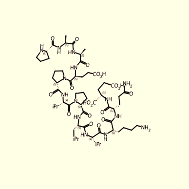 CC(C)C[C@H](NC(=O)[C@@H]1CCCN1C(=O)[C@@H](NC(=O)[C@@H]1CCCN1C(=O)[C@H](CCC(=O)O)NC(=O)[C@H](C)NC(=O)[C@H](C)NC(=O)[C@@H]1CCCN1)C(C)C)C(=O)N[C@H](C(=O)N[C@@H](CCCCN)C(=O)N[C@@H](CCC(N)=O)C(=O)N[C@@H](CCC(=O)O)C(=O)O)C(C)C